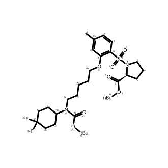 CCCCOC(=O)[C@@H]1CCCN1S(=O)(=O)c1ccc(C)cc1OCCCCCN(C(=O)OC(C)(C)C)C1CCC(F)(F)CC1